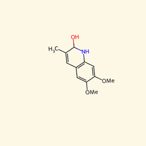 COc1cc2c(cc1OC)NC(O)C(C)=C2